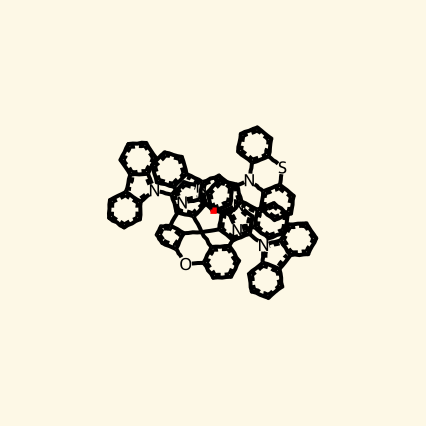 c1ccc2c(c1)Sc1ccccc1N2c1ccc2c(c1)c1ccccc1n2-c1cccc2c1C1(c3cc(-n4c5ccccc5c5ccccc54)cnc3-c3ncc(-n4c5ccccc5c5ccccc54)cc31)c1c(cccc1-n1c3ccccc3c3ccccc31)O2